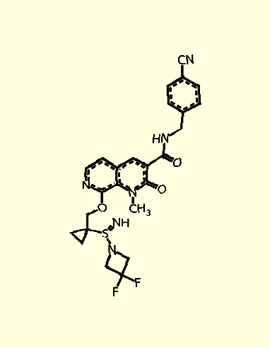 Cn1c(=O)c(C(=O)NCc2ccc(C#N)cc2)cc2ccnc(OCC3(S(=N)N4CC(F)(F)C4)CC3)c21